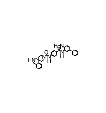 Nc1ccc(-c2ccccc2)cc1NC(=O)c1ccc(NC(=O)N2CCC3(CC2)CNCc2ccccc23)cc1